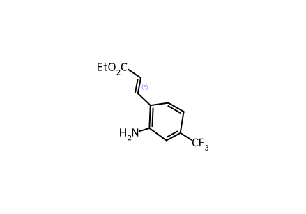 CCOC(=O)/C=C/c1ccc(C(F)(F)F)cc1N